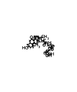 COC1CC2CC(O)CCC2(C)C2CCC3(C)C(C(C)CCC(=O)NCCS(=O)(=O)OCOP(=O)(O)O)CCC3C12